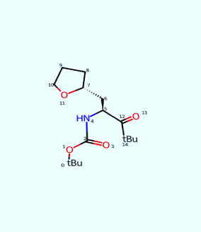 CC(C)(C)OC(=O)N[C@@H](C[C@H]1CCCO1)C(=O)C(C)(C)C